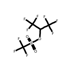 O=S(=O)(OC(C(F)(F)F)C(F)(F)F)C(F)(F)F